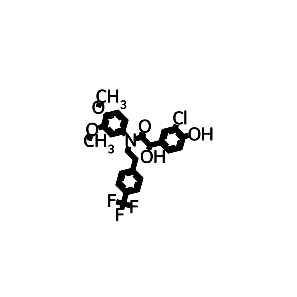 COc1ccc(N(CCc2ccc(C(F)(F)F)cc2)C(=O)C(O)c2ccc(O)c(Cl)c2)cc1OC